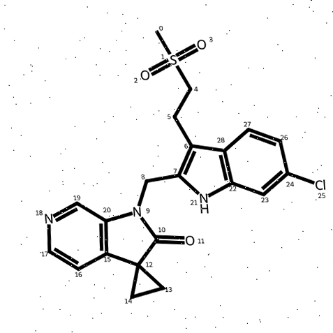 CS(=O)(=O)CCc1c(CN2C(=O)C3(CC3)c3ccncc32)[nH]c2cc(Cl)ccc12